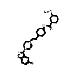 COC1CCCC(C(=O)NC2CCC(CCN3CCN(c4noc5ccc(F)cc45)CC3)CC2)C1